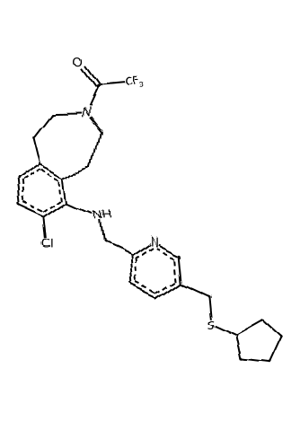 O=C(N1CCc2ccc(Cl)c(NCc3ccc(CSC4CCCC4)cn3)c2CC1)C(F)(F)F